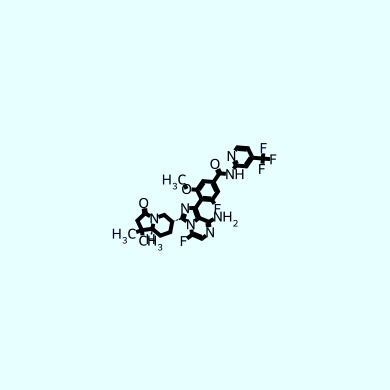 COc1cc(C(=O)Nc2cc(C(F)(F)F)ccn2)cc(F)c1-c1nc([C@@H]2CC[C@@H]3N(C2)C(=O)CC3(C)C)n2c(F)cnc(N)c12